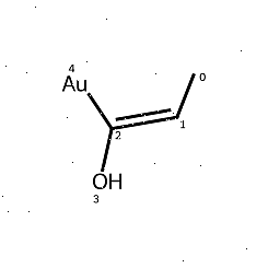 CC=[C](O)[Au]